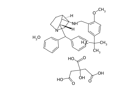 COc1ccc(C(C)(C)C)cc1CN[C@@H]1C2CCN(CC2)[C@H]1C(c1ccccc1)c1ccccc1.O.O=C(O)CC(O)(CC(=O)O)C(=O)O